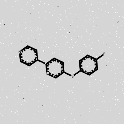 Fc1ccc(Sc2ccc(-c3ccncc3)nc2)cc1